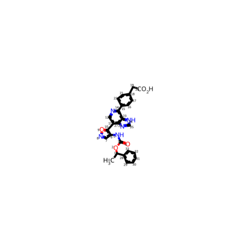 CC(OC(=O)Nc1cnoc1-c1cnc(-c2ccc(CC(=O)O)cc2)c2[nH]cnc12)c1ccccc1